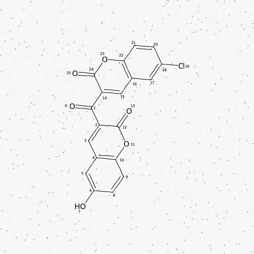 O=C(c1cc2cc(O)ccc2oc1=O)c1cc2cc(Cl)ccc2oc1=O